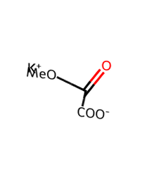 COC(=O)C(=O)[O-].[K+]